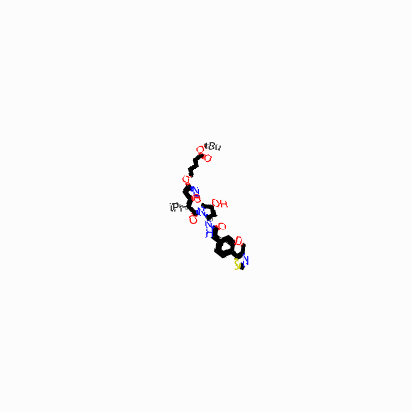 CC(C)[C@@H](C(=O)N1C[C@H](O)C[C@H]1NC(=O)Cc1ccc2c(c1)OCc1ncsc1-2)c1cc(OCCCCC(=O)OC(C)(C)C)no1